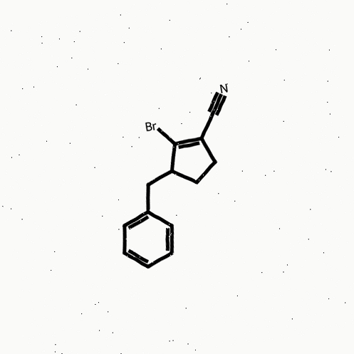 N#CC1=C(Br)C(Cc2ccccc2)CC1